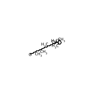 CC1=C(/C=C/C(C)=C/C=C/C(C)=C/C=C/C=C(C)/C=C/C=C(C)/C=C/C=O)C(C)(C)CCC1